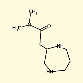 CN(C)C(=O)CC1CNCCCN1